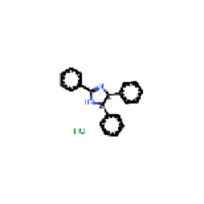 Cl.c1ccc(C2=N[C@@H](c3ccccc3)[C@@H](c3ccccc3)N2)cc1